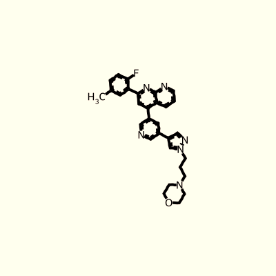 Cc1ccc(F)c(-c2cc(-c3cncc(-c4cnn(CCCN5CCOCC5)c4)c3)c3cccnc3n2)c1